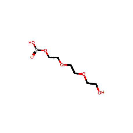 O=[Si](O)OCCOCCOCCO